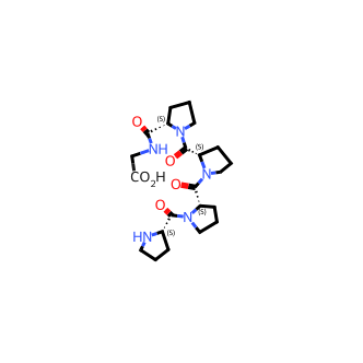 O=C(O)CNC(=O)[C@@H]1CCCN1C(=O)[C@@H]1CCCN1C(=O)[C@@H]1CCCN1C(=O)[C@@H]1CCCN1